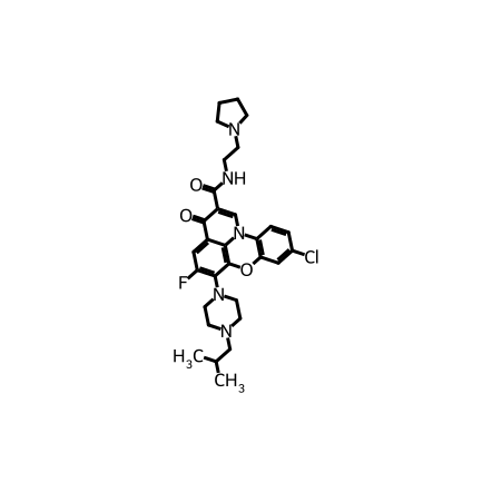 CC(C)CN1CCN(c2c(F)cc3c(=O)c(C(=O)NCCN4CCCC4)cn4c3c2Oc2cc(Cl)ccc2-4)CC1